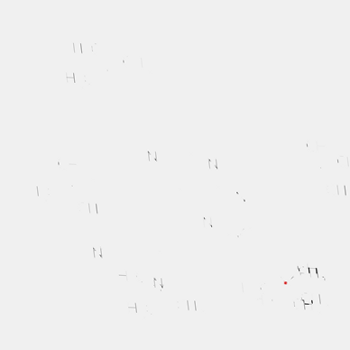 CC(C)(C)c1ccc2c(c1)c1cc(C(C)(C)C)ccc1n2-c1nc(-c2ccccc2)c(-n2c3ccc(C(C)(C)C)cc3c3cc(C(C)(C)C)ccc32)c(-c2ccc(C#N)c(C#N)c2)c1-n1c2ccc(C(C)(C)C)cc2c2cc(C(C)(C)C)ccc21